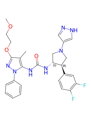 COCCOc1nn(-c2ccccc2)c(NC(=O)N[C@@H]2CN(c3cn[nH]c3)C[C@H]2c2ccc(F)c(F)c2)c1C